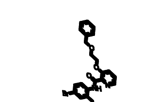 Cc1cc(Br)ccc1NC(=O)c1ncccc1OCCOCc1ccccc1